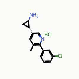 Cc1cc([C@@H]2C[C@H]2N)cnc1-c1cccc(Cl)c1.Cl